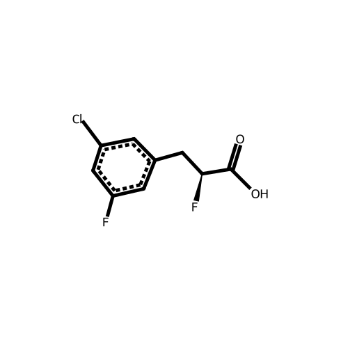 O=C(O)[C@@H](F)Cc1cc(F)cc(Cl)c1